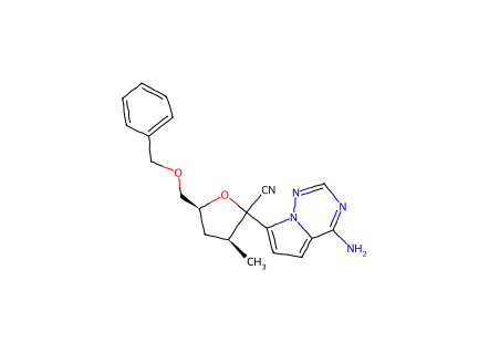 C[C@H]1C[C@@H](COCc2ccccc2)OC1(C#N)c1ccc2c(N)ncnn12